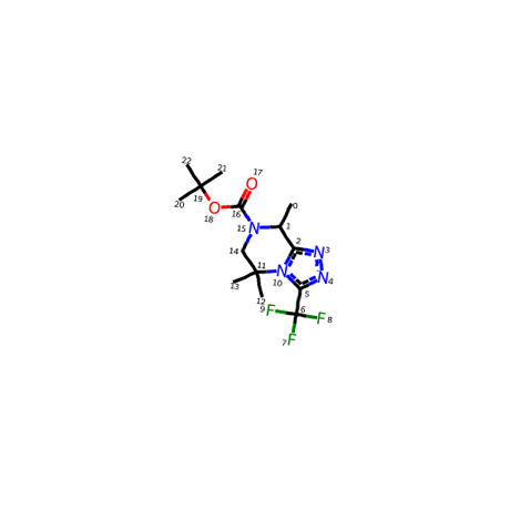 CC1c2nnc(C(F)(F)F)n2C(C)(C)CN1C(=O)OC(C)(C)C